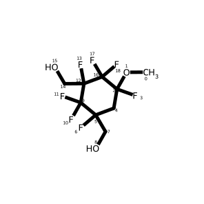 COC1(F)CC(F)(CO)C(F)(F)C(F)(CO)C1(F)F